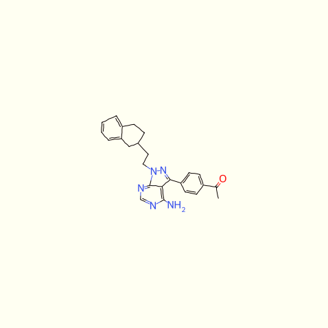 CC(=O)c1ccc(-c2nn(CCC3CCc4ccccc4C3)c3ncnc(N)c23)cc1